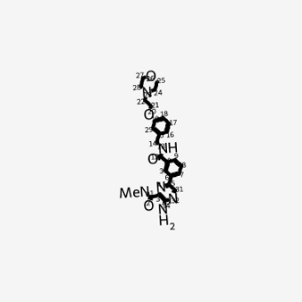 CNC(=O)c1nc(-c2cccc(C(=O)NCc3cccc(OCCN4CCOCC4)c3)c2)cnc1N